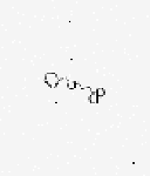 O=C(Cl)CCCOCc1ccccc1